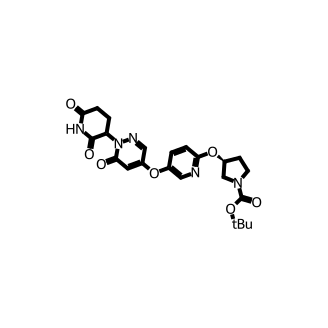 CC(C)(C)OC(=O)N1CC[C@H](Oc2ccc(Oc3cnn(C4CCC(=O)NC4=O)c(=O)c3)cn2)C1